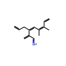 C=CC/C(=C/C(C)=C(/C)C=C)C(=C)C=N